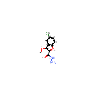 COc1c(C(=O)NN)oc2ccc(Cl)cc12